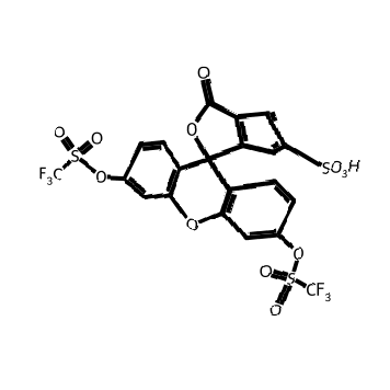 O=C1OC2(c3ccc(OS(=O)(=O)C(F)(F)F)cc3Oc3cc(OS(=O)(=O)C(F)(F)F)ccc32)c2cc(S(=O)(=O)O)ccc21